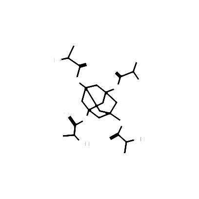 CC(O)C(=O)OC12CC3(OC(=O)C(C)O)CC(OC(=O)C(C)O)(C1)CC(OC(=O)C(C)O)(C2)C3